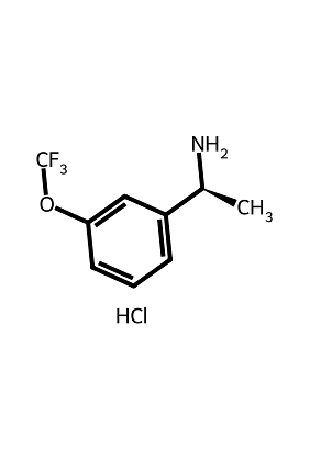 C[C@H](N)c1cccc(OC(F)(F)F)c1.Cl